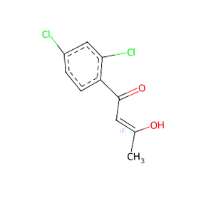 C/C(O)=C/C(=O)c1ccc(Cl)cc1Cl